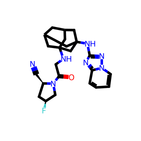 N#C[C@@H]1C[C@H](F)CN1C(=O)CNC12CC3CC(C1)CC(Nc1nc4ccccn4n1)(C3)C2